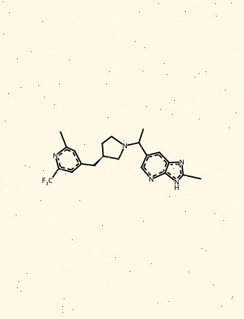 Cc1cc(C[C@H]2CCN(C(C)c3cnc4[nH]c(C)nc4c3)C2)cc(C(F)(F)F)n1